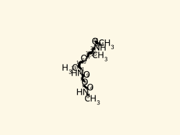 CCNC(=O)COCC(=O)NC/C(C)=C\COC/C=C(\C)CNC(C)=O